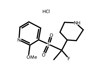 COc1ncccc1S(=O)(=O)C(C)(F)C1CCNCC1.Cl